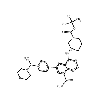 CC(c1ccc(-c2cc(C(N)=O)c3ncnc(N[C@H]4CCCN(C(=O)OC(C)(C)C)C4)c3n2)cc1)N1CCOCC1